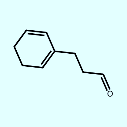 O=CCCC1=CCCC=C1